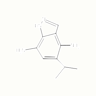 CC(C)c1cc(N)c2[nH]ncc2c1N